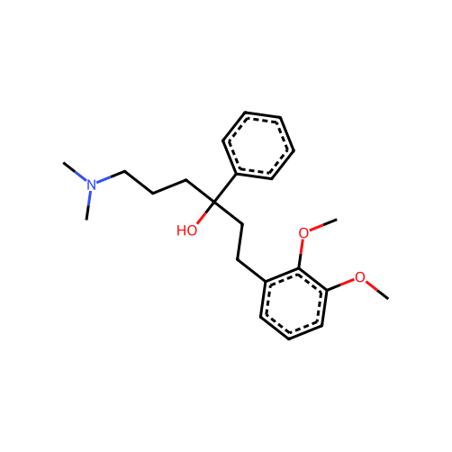 COc1cccc(CCC(O)(CCCN(C)C)c2ccccc2)c1OC